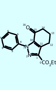 CCOC(=O)c1nn(-c2ccccc2)c2c1CCCC2=O